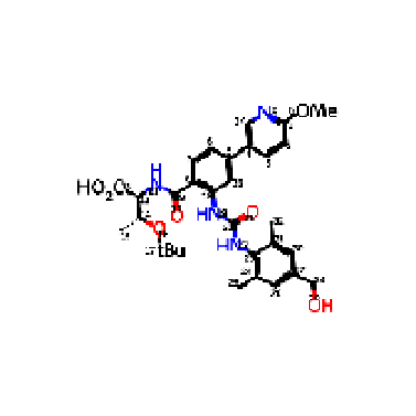 COc1ccc(-c2ccc(C(=O)N[C@H](C(=O)O)[C@@H](C)OC(C)(C)C)c(NC(=O)Nc3c(C)cc(CO)cc3C)c2)cn1